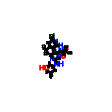 CC(C)CC(CO)Nc1nc(CC(C)c2ccnc(Cl)c2)nc(NS(C)(=O)=O)n1